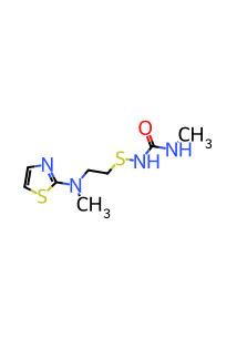 CNC(=O)NSCCN(C)c1nccs1